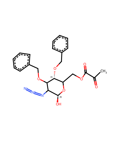 CC(=O)C(=O)OCC1O[C@@H](O)C(N=[N+]=[N-])C(OCc2ccccc2)[C@@H]1OCc1ccccc1